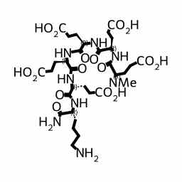 CN[C@H](CCC(=O)O)C(=O)N[C@H](CCC(=O)O)C(=O)N[C@H](CCC(=O)O)C(=O)N[C@H](CCC(=O)O)C(=O)N[C@H](CCC(=O)O)C(=O)N[C@H](CCCCN)C(N)=O